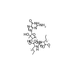 CC[C@H](C)C(NP(=O)(NC(C(=O)OC)[C@@H](C)CC)OC[C@H]1OC(n2cnc3c(=O)[nH]c(N)nc32)C(C)(O)C1O)C(=O)OC